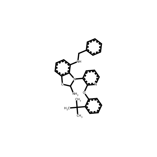 CC(C)(C)c1ccccc1Oc1ncccc1N1c2c(NCc3ccccc3)cccc2OC1N